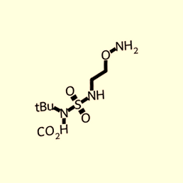 CC(C)(C)N(C(=O)O)S(=O)(=O)NCCON